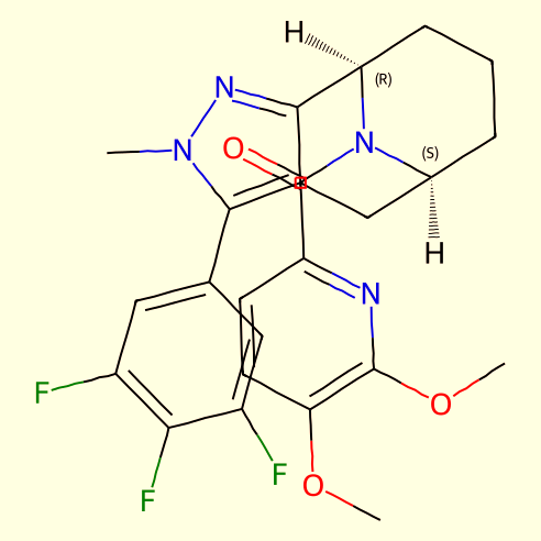 COc1ccc(C(=O)N2[C@H]3CCC[C@@H]2c2nn(C)c(-c4cc(F)c(F)c(F)c4)c2C3)nc1OC